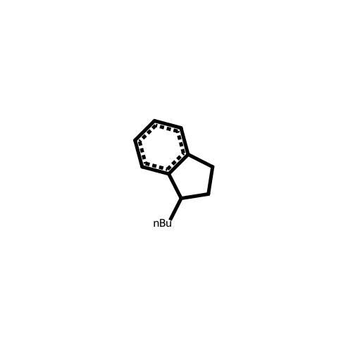 [CH2]CCCC1CCc2ccccc21